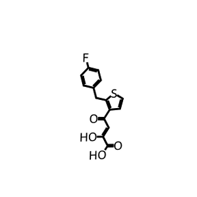 O=C(O)C(O)=CC(=O)c1ccsc1Cc1ccc(F)cc1